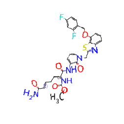 COC(=O)N[C@@H](CC/C=C/C(N)=O)C(=O)Nc1cccn(Cc2nc3cccc(OCc4ccc(F)cc4F)c3s2)c1=O